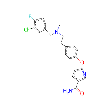 CN(CCc1ccc(Oc2ccc(C(N)=O)cn2)cc1)Cc1ccc(F)c(Cl)c1